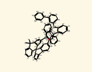 CC1(C)c2ccccc2C2(c3ccccc3-c3ccc(-c4ccc5c(c4)c4ccccc4n5-c4cccc(-c5ccccc5)c4)cc32)c2cc(-n3c4ccccc4c4ccccc43)ccc21